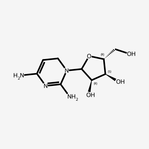 NC1=CCN(C2O[C@H](CO)[C@@H](O)[C@H]2O)C(N)=N1